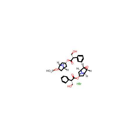 Br.CN1[C@@H]2CC[C@H]1C[C@@H](OC(=O)[C@H](CO)c1ccccc1)C2.CN1[C@@H]2C[C@@H](OC(=O)[C@H](CO)c3ccccc3)C[C@H]1[C@@H]1O[C@@H]12.O=S(=O)(O)O